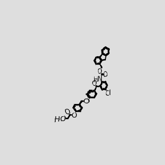 O=C(CO)Oc1ccc(COc2ccc(C(=O)c3cc(Cl)ccc3NC(=O)OCc3cccc4c3Cc3ccccc3-4)cc2)cc1